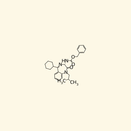 CC(C)CN1C(=O)[C@@H](NC(=O)OCc2ccccc2)N=C(C2CCCCC2)c2ccccc21